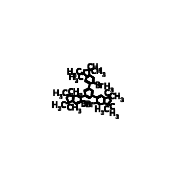 CC1(C)CC(C)(C)c2cc(-c3cc(-c4cc5c(cc4Br)C(C)(C)CC5(C)C)cc(-c4cc5c(cc4Br)C(C)(C)CC5(C)C)c3)c(Br)cc21